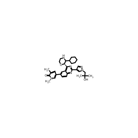 Cc1cc(-c2ccc3nc(-c4cnn(CC(C)(C)O)c4)nc([C@H]4OCCNC4C4CCCCC4)c3c2)cn(C)c1=O